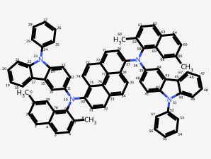 Cc1ccc2ccc(C)c(N(c3ccc4c(c3)c3ccccc3n4-c3ccccc3)c3ccc4ccc5c(N(c6ccc7c(c6)c6ccccc6n7-c6ccccc6)c6c(C)ccc7ccc(C)cc67)ccc6ccc3c4c65)c2c1